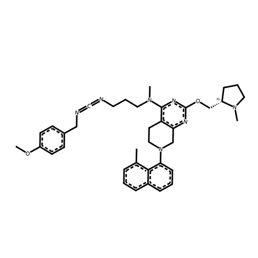 COc1ccc(CN=C=NCCCN(C)c2nc(OC[C@@H]3CCCN3C)nc3c2CCN(c2cccc4cccc(C)c24)C3)cc1